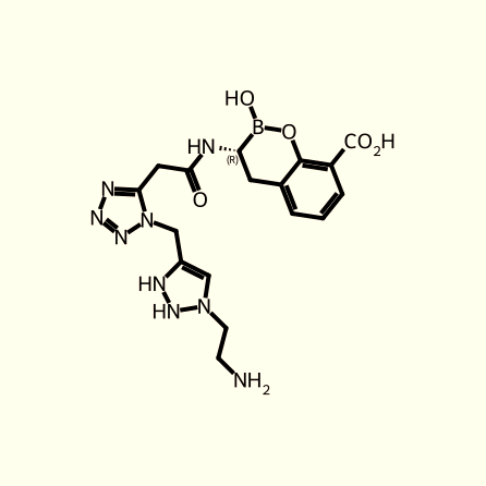 NCCN1C=C(Cn2nnnc2CC(=O)N[C@H]2Cc3cccc(C(=O)O)c3OB2O)NN1